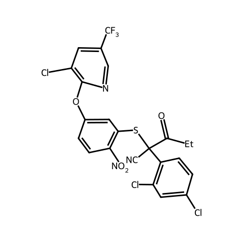 CCC(=O)C(C#N)(Sc1cc(Oc2ncc(C(F)(F)F)cc2Cl)ccc1[N+](=O)[O-])c1ccc(Cl)cc1Cl